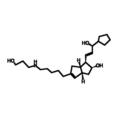 OCCCNCCCCCC1=C[C@H]2C[C@@H](O)[C@H](/C=C/[C@@H](O)C3CCCC3)[C@H]2C1